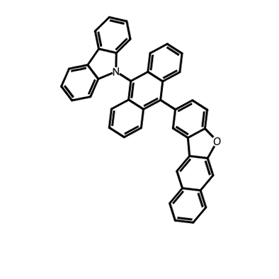 c1ccc2cc3c(cc2c1)oc1ccc(-c2c4ccccc4c(-n4c5ccccc5c5ccccc54)c4ccccc24)cc13